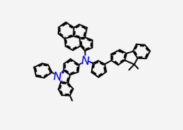 Cc1ccc2c(c1)c1cc(N(c3cccc(-c4ccc5c(c4)C(C)(C)c4ccccc4-5)c3)c3ccc4ccc5cccc6ccc3c4c56)ccc1n2-c1ccccc1